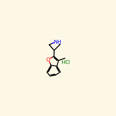 Cc1c(C2CNC2)oc2ccccc12.Cl